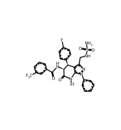 CCN1C(=O)[C@@H](NC(=O)c2cccc(C(F)(F)F)c2)[C@@H](c2ccc(F)cc2)c2c(CNS(N)(=O)=O)nn(-c3ccccc3)c21